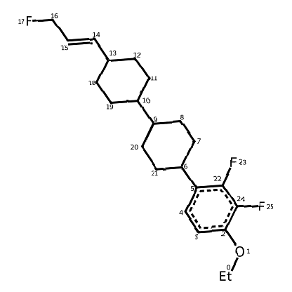 CCOc1ccc(C2CCC(C3CCC(/C=C/CF)CC3)CC2)c(F)c1F